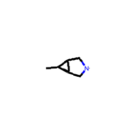 CC1C2C[N]CC12